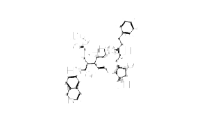 CC(C)(C)OC(=O)NCC(C(=O)Nc1ccc2cnccc2c1)C(C=CC[C@@H]1[C@@H](CC[C@@H](O)CCc2ccccc2)[C@H](O)C[C@@H]1O)CCC(=O)O